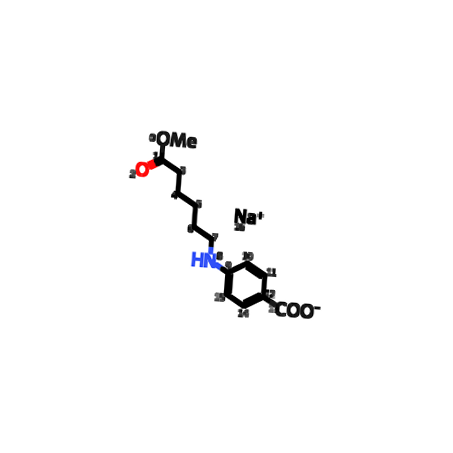 COC(=O)CCCCCNc1ccc(C(=O)[O-])cc1.[Na+]